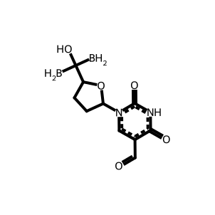 BC(B)(O)C1CCC(n2cc(C=O)c(=O)[nH]c2=O)O1